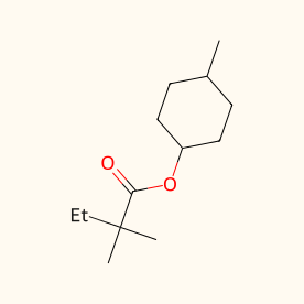 CCC(C)(C)C(=O)OC1CCC(C)CC1